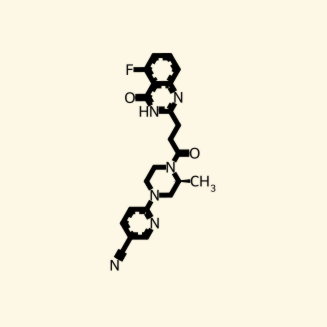 C[C@H]1CN(c2ccc(C#N)cn2)CCN1C(=O)CCc1nc2cccc(F)c2c(=O)[nH]1